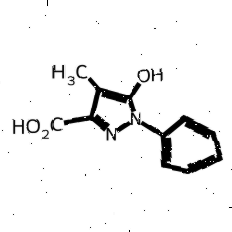 Cc1c(C(=O)O)nn(-c2ccccc2)c1O